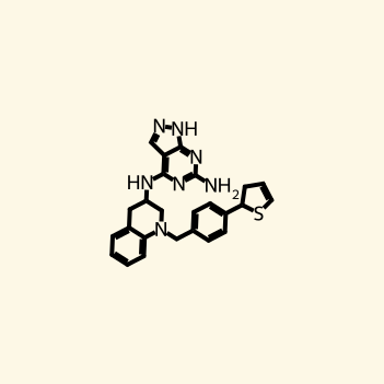 Nc1nc(NC2Cc3ccccc3N(Cc3ccc(C4CC=CS4)cc3)C2)c2cn[nH]c2n1